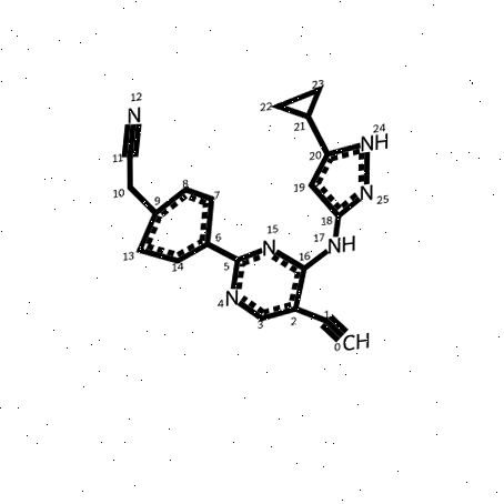 C#Cc1cnc(-c2ccc(CC#N)cc2)nc1Nc1cc(C2CC2)[nH]n1